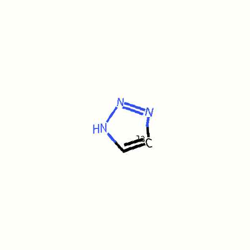 c1[13cH]nn[nH]1